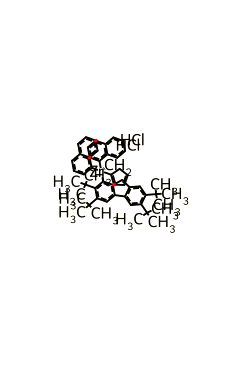 Cl.Cl.[CH2]=[Zr]([C]1=CC=CC1)([c]1c2c(cc(C(C)(C)C)c1C(C)(C)C)-c1cc(C(C)(C)C)c(C(C)(C)C)cc1C2)([c]1cccc2ccccc12)[c]1cccc2ccccc12